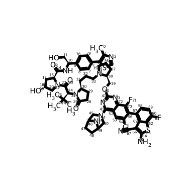 Cc1ncsc1-c1ccc([C@H](CO)NC(=O)[C@@H]2C[C@@H](O)CN2C(=O)[C@@H](N2C(=O)CC[C@@H]2CCCN2CCC[C@H]2COc2nc(N3CC4CCC(C3)N4)c3cc(Cl)c(-c4ccc(F)c5sc(N)c(C#N)c45)c(F)c3n2)C(C)(C)C)cc1